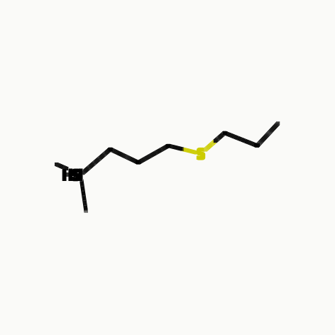 CCCSCCC[SiH](C)C